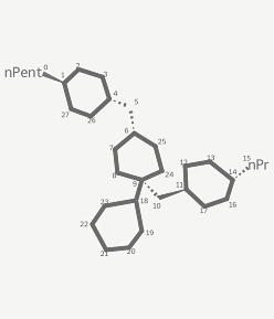 CCCCC[C@H]1CC[C@H](C[C@H]2CC[C@](C[C@H]3CC[C@H](CCC)CC3)(C3CCCCC3)CC2)CC1